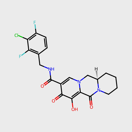 O=C(NCc1ccc(F)c(Cl)c1F)c1cn2c(c(O)c1=O)C(=O)N1CCCC[C@@H]1C2